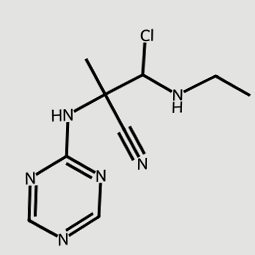 CCNC(Cl)C(C)(C#N)Nc1ncncn1